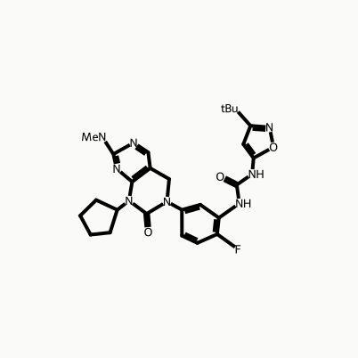 CNc1ncc2c(n1)N(C1CCCC1)C(=O)N(c1ccc(F)c(NC(=O)Nc3cc(C(C)(C)C)no3)c1)C2